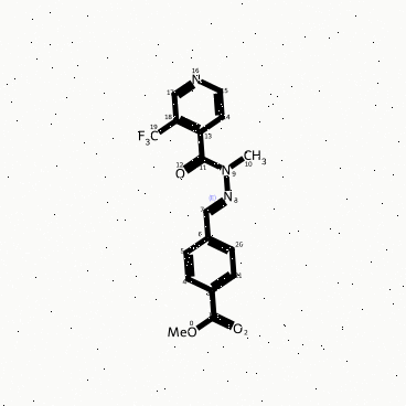 COC(=O)c1ccc(/C=N/N(C)C(=O)c2ccncc2C(F)(F)F)cc1